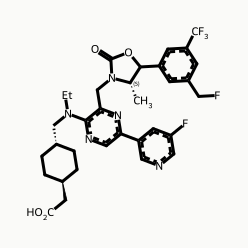 CCN(C[C@H]1CC[C@H](CC(=O)O)CC1)c1ncc(-c2cncc(F)c2)nc1CN1C(=O)OC(c2cc(CF)cc(C(F)(F)F)c2)[C@@H]1C